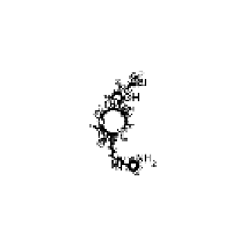 CC[C@H]1OC(=O)[C@H](C)C(=O)[C@H](C)[C@@H](O[C@@H]2O[C@H](C)CC(N(C)CCCS(C)(=O)=O)C2O)[C@](C)(OC)C[C@@H](C)CN(C)[C@H](C)[C@H]2N(CCCCn3cc(-c4cccc(N)c4)nn3)C(=O)O[C@]12C